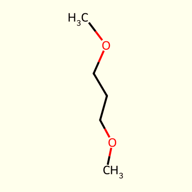 COCCCOC